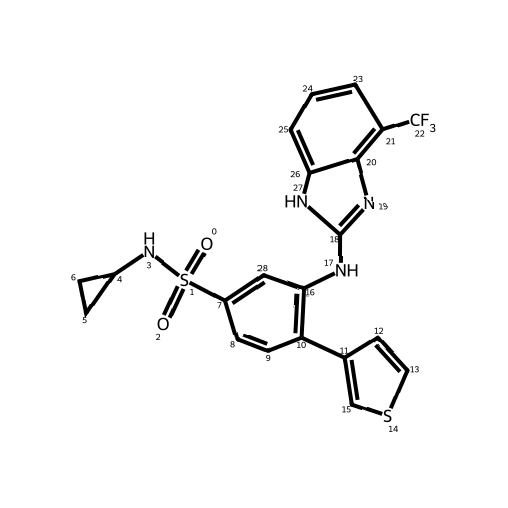 O=S(=O)(NC1CC1)c1ccc(-c2ccsc2)c(Nc2nc3c(C(F)(F)F)cccc3[nH]2)c1